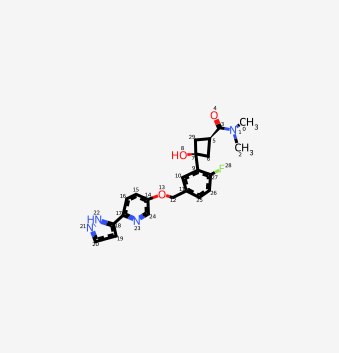 CN(C)C(=O)[C@H]1C[C@](O)(c2cc(COc3ccc(-c4ccn[nH]4)nc3)ccc2F)C1